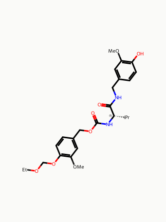 CCOCOc1ccc(COC(=O)N[C@H](C(=O)NCc2ccc(O)c(OC)c2)C(C)C)cc1OC